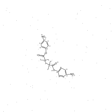 CC(C)(CC(C)(C)C(=O)Oc1ccc([N+](=O)[O-])cc1)C(=O)Oc1ccc([N+](=O)[O-])cc1